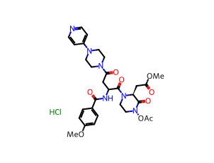 COC(=O)C[C@H]1C(=O)N(OC(C)=O)CCN1C(=O)C(CC(=O)N1CCN(c2ccncc2)CC1)NC(=O)c1ccc(OC)cc1.Cl